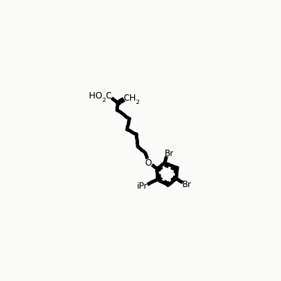 C=C(CCCCCCOc1c(Br)cc(Br)cc1C(C)C)C(=O)O